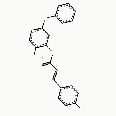 O=C(C=Cc1ccc(O)cc1)Nc1cc(Oc2ccccc2)ccc1C(=O)O